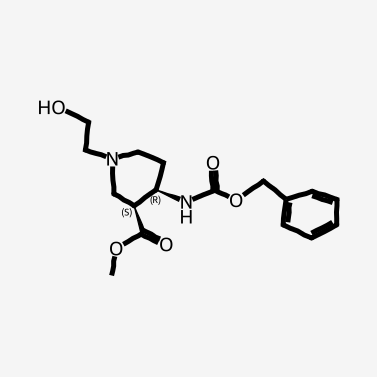 COC(=O)[C@H]1CN(CCO)CC[C@H]1NC(=O)OCc1ccccc1